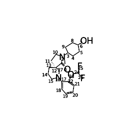 O=C1N(C2CCC(O)CC2)CC[C@]12CCCN(c1ccccc1OC(F)F)C2